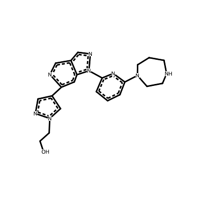 OCCn1cc(-c2cc3c(cn2)cnn3-c2cccc(N3CCCNCC3)n2)cn1